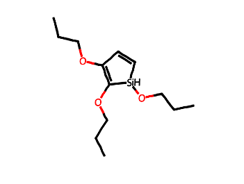 CCCOC1=C(OCCC)[SiH](OCCC)C=C1